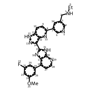 CCNCc1cncc(-c2ccc3[nH]nc(-c4nc5c(-c6cc(F)cc(OC)c6)ccnc5[nH]4)c3n2)c1